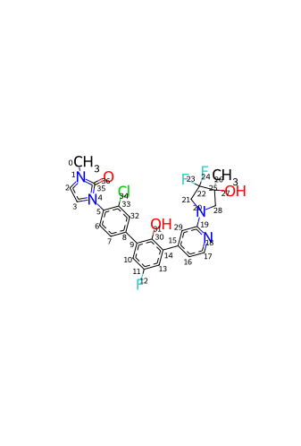 Cn1ccn(-c2ccc(-c3cc(F)cc(-c4ccnc(N5CC(F)(F)[C@@](C)(O)C5)c4)c3O)cc2Cl)c1=O